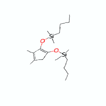 CCCC[Si](C)(C)OC1=C(O[Si](C)(C)CCCC)C(C)=C(C)C1